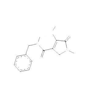 COC1=C(C(=O)N(C)Cc2ccccc2)CN(C)C1=O